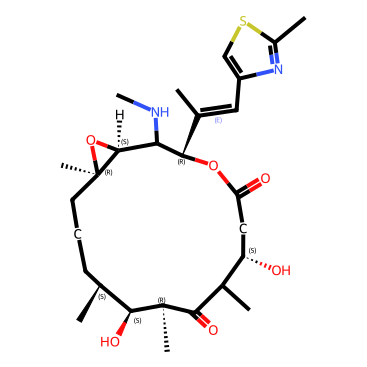 CNC1[C@@H](/C(C)=C/c2csc(C)n2)OC(=O)C[C@H](O)C(C)C(=O)[C@H](C)[C@@H](O)[C@@H](C)CCC[C@@]2(C)O[C@@H]12